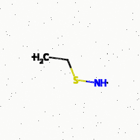 [CH2]CS[NH]